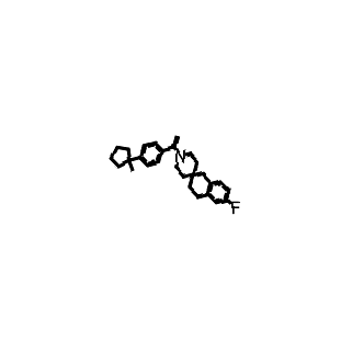 C=C(c1ccc(C2(C)CCCC2)cc1)N1CCC2(CCc3cc(F)ccc3C2)CC1